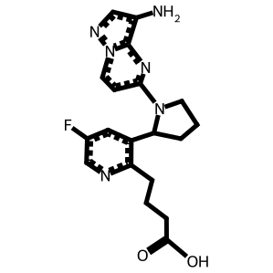 Nc1cnn2ccc(N3CCCC3c3cc(F)cnc3CCCC(=O)O)nc12